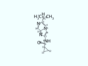 C[SH](C)c1cn2cc(NC(=O)C3CC3)nc2cn1